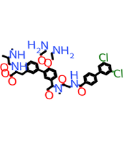 CNC(C)C(=O)NC(Cc1ccc(OCCN)c(-c2cc(C(C=O)N(C)C(=O)CNC(=O)c3ccc(-c4cc(Cl)cc(Cl)c4)cc3)ccc2OCCN)c1)C(=O)O